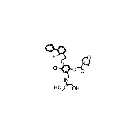 O=C(O)[C@H](CO)NCc1cc(Cl)c(OCc2cccc(-c3ccccc3)c2Br)cc1OCC(=O)N1CCOCC1